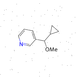 COC(c1cccnc1)C1CC1